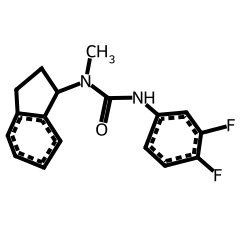 CN(C(=O)Nc1ccc(F)c(F)c1)C1CCc2ccccc21